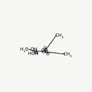 CCCCCCCCCCCCCCCCCC(=O)OCC(COC(=O)CCCCCCCCCCCCCCCCC)OC(=O)CCCCC1C[C@@H]2[C@@H](/C=C/[C@@H](O)CCCCC)[C@H](O)C[C@H]2S1